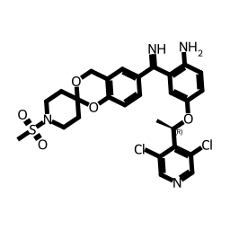 C[C@@H](Oc1ccc(N)c(C(=N)c2ccc3c(c2)COC2(CCN(S(C)(=O)=O)CC2)O3)c1)c1c(Cl)cncc1Cl